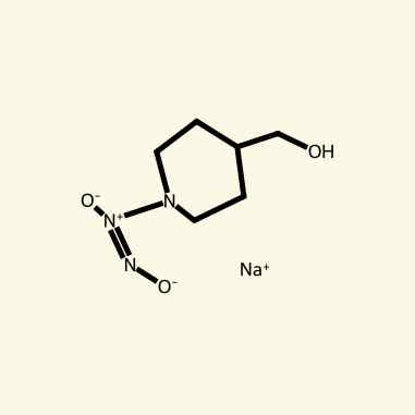 [Na+].[O-]/N=[N+](/[O-])N1CCC(CO)CC1